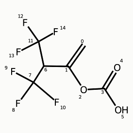 C=C(OC(=O)O)C(C(F)(F)F)C(F)(F)F